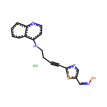 Cl.O/N=C\c1cnc(C#CCCNc2ccnc3ccccc23)s1